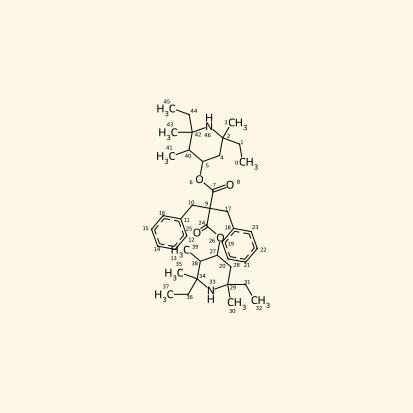 CCC1(C)CC(OC(=O)C(Cc2ccccc2)(Cc2ccccc2)C(=O)OC2CC(C)(CC)NC(C)(CC)C2C)C(C)C(C)(CC)N1